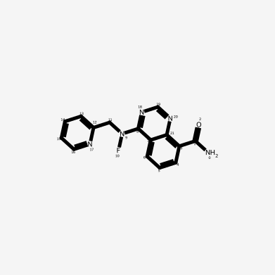 NC(=O)c1cccc2c(N(F)Cc3ccccn3)ncnc12